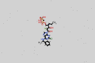 CC/C=C(/COP(=O)(O)CP(=O)(O)O)[C@@H](O)[C@H](F)[C@@H](O)n1cnc2c(N[C@@H](C)c3ccccc3)nc(Cl)nc21